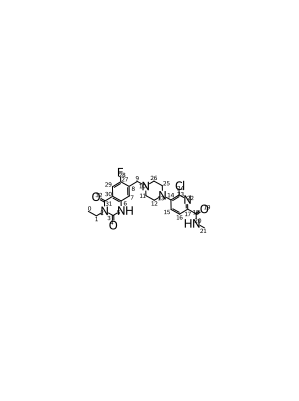 CCn1c(=O)[nH]c2cc(CN3CCN(c4ccc(C(=O)NC)nc4Cl)CC3)c(F)cc2c1=O